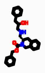 O=C(OCc1ccccc1)N1Cc2ccccc2C[C@H]1CNCC(O)Cc1ccccc1